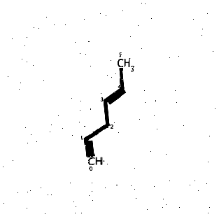 [CH]=C[CH]C=CC